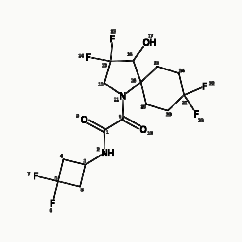 O=C(NC1CC(F)(F)C1)C(=O)N1CC(F)(F)C(O)C12CCC(F)(F)CC2